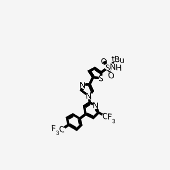 CC(C)(C)NS(=O)(=O)c1ccc(-c2cn(-c3cc(-c4ccc(C(F)(F)F)cc4)cc(C(F)(F)F)n3)cn2)s1